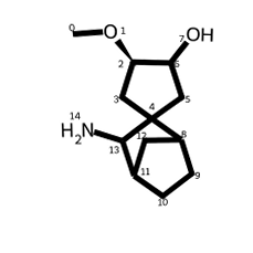 CO[C@@H]1CC2(CC1O)C1CCC(C1)C2N